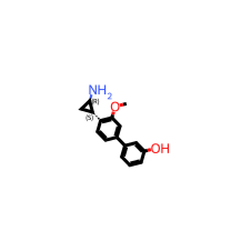 COc1cc(-c2cccc(O)c2)ccc1[C@@H]1C[C@H]1N